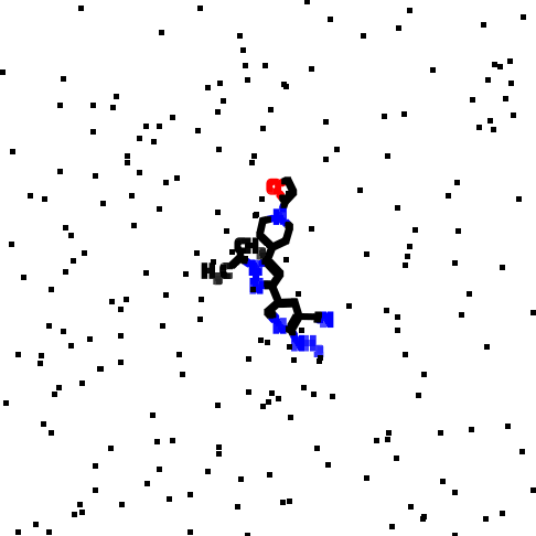 CC(C)n1nc(-c2cnc(N)c(C#N)c2)cc1C1CCN(C2CCO2)CC1